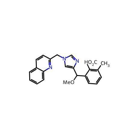 COC(c1cn(Cc2ccc3ccccc3n2)cn1)c1cccc(C)c1C(=O)O